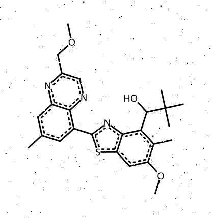 COCc1cnc2c(-c3nc4c(C(O)C(C)(C)C)c(C)c(OC)cc4s3)cc(C)cc2n1